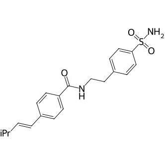 CC(C)/C=C/c1ccc(C(=O)NCCc2ccc(S(N)(=O)=O)cc2)cc1